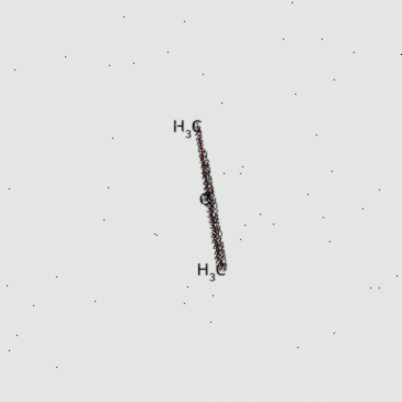 CCCCCCCCCCCCCCCCCCCCCCCCC=CC(=O)C=CCCCCCCCCCCCCCCCCCCCCCCCC